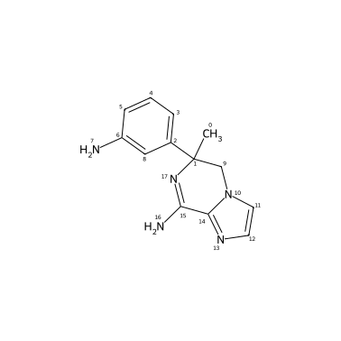 CC1(c2cccc(N)c2)Cn2ccnc2C(N)=N1